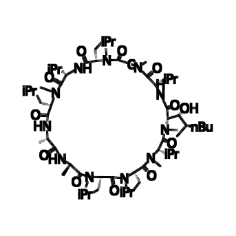 CCCC[C@@H](C)[C@@H](O)[C@H]1C(=O)N[C@@H](C(C)C)C(=O)N(C)CC(=O)N(C)[C@@H](CC(C)C)C(=O)N[C@@H](C(C)C)C(=O)N(C)[C@@H](CC(C)C)C(=O)N[C@@H](C)C(=O)N[C@H](C)C(=O)N(C)[C@@H](CC(C)C)C(=O)N(C)[C@@H](CC(C)C)C(=O)N(C)[C@@H](C(C)C)C(=O)N1C